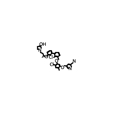 Cc1cc(Cl)c(OCc2cccc(-c3cccc(O[C@@H](C)CCN4CC[C@@H](O)C4)c3Cl)c2C)cc1OCc1cncc(C#N)c1